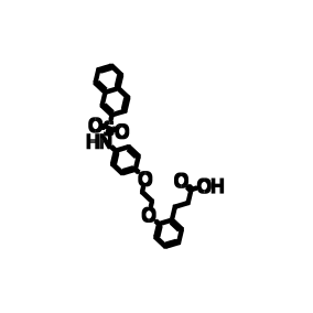 O=C(O)CCc1ccccc1OCCOc1ccc(NS(=O)(=O)c2ccc3ccccc3c2)cc1